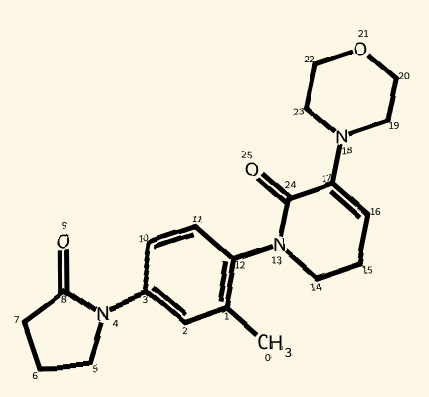 Cc1cc(N2CCCC2=O)ccc1N1CCC=C(N2CCOCC2)C1=O